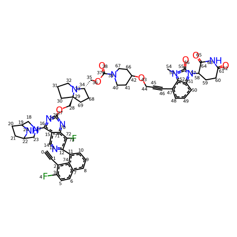 C#Cc1c(F)ccc2cccc(-c3ncc4c(N5CC6CCC(C5)N6)nc(OC[C@@]56CCCN5[C@H](COC(=O)N5CCC(OCC#Cc7cccc8c7n(C)c(=O)n8C7CCC(=O)NC7=O)CC5)CC6)nc4c3F)c12